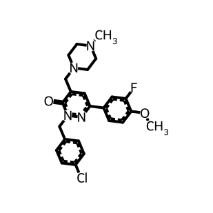 COc1ccc(-c2cc(CN3CCN(C)CC3)c(=O)n(Cc3ccc(Cl)cc3)n2)cc1F